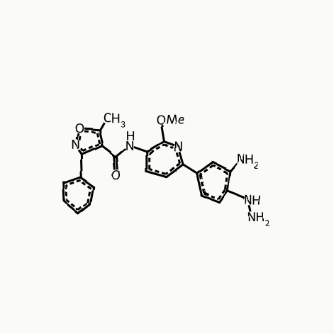 COc1nc(-c2ccc(NN)c(N)c2)ccc1NC(=O)c1c(-c2ccccc2)noc1C